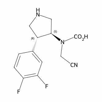 N#CCN(C(=O)O)[C@@H]1CNC[C@H]1c1ccc(F)c(F)c1